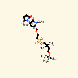 CC(=O)ON1C(=O)[C@@](N2C(=O)C=CC2=O)(C(C)(C)C)C[C@H]1COCCS(=O)(=O)OCC(C)(C)CCO[Si](C)(C)C(C)(C)C